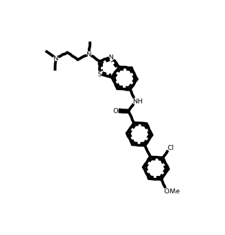 COc1ccc(-c2ccc(C(=O)Nc3ccc4nc(N(C)CCN(C)C)sc4c3)cc2)c(Cl)c1